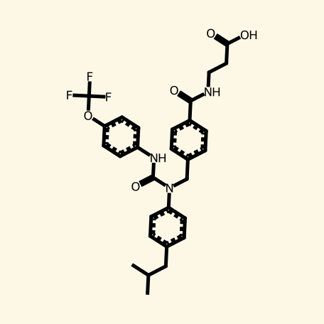 CC(C)Cc1ccc(N(Cc2ccc(C(=O)NCCC(=O)O)cc2)C(=O)Nc2ccc(OC(F)(F)F)cc2)cc1